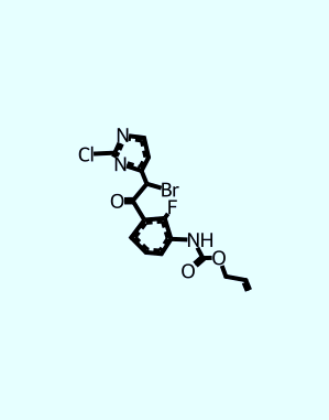 C=CCOC(=O)Nc1cccc(C(=O)C(Br)c2ccnc(Cl)n2)c1F